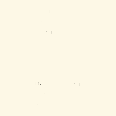 O=c1[nH]c2cc(CNCC(F)(F)F)ccc2c2c1CCCN2